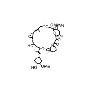 CO[C@H]1C[C@@H](C)C/C(C)=C/[C@H](C)C(=O)C[C@H](O)[C@@H](C)C(/C(C)=C/[C@H]2CC[C@@H](O)[C@@H](OC)C2)OC(=O)[C@@H]2CCCCN2C(=O)C(=O)[C@]2(O)O[C@H]1[C@@H](OC)C[C@H]2C